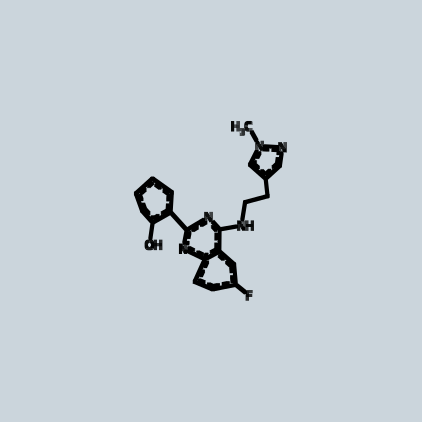 Cn1cc(CCNc2nc(-c3ccccc3O)nc3ccc(F)cc23)cn1